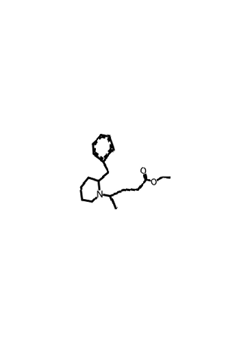 CCOC(=O)CCC(C)N1CCCCC1Cc1ccccc1